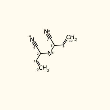 C=CC(C#N)[N]C(C#N)C=C